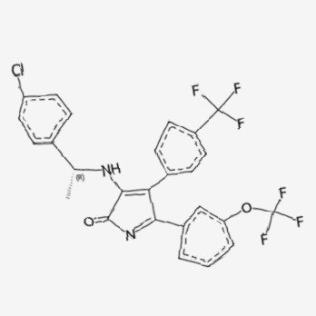 C[C@@H](NC1=C(c2ccc(C(F)(F)F)cc2)C(c2cccc(OC(F)(F)F)c2)=NC1=O)c1ccc(Cl)cc1